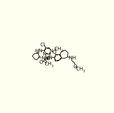 COCCNC1CCCc2c(ccc(Nc3ncc(Cl)c(N[C@@H]4CCCC[C@H]4NS(C)(=O)=O)n3)c2OC)C1